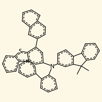 CC1(C)c2ccccc2-c2ccc(N(c3cc(-c4ccc5ccccc5c4)c4sc5ccccc5c4c3)c3ccccc3-c3ccccc3)cc21